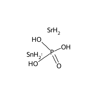 O=P(O)(O)O.[SnH2].[SrH2]